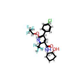 O=C(N[C@H]1CCCC[C@@H]1O)c1cc(-c2ccc(Cl)cc2)c(OCC(F)(F)F)nc1C(F)(F)F